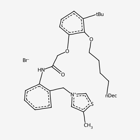 CCCCCCCCCCCCCCOc1c(OCC(=O)Nc2ccccc2C[n+]2csc(C)c2)cccc1C(C)(C)C.[Br-]